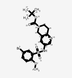 COc1ccc(Br)cc1S(=O)(=O)Nc1cnc2c(c1)CN(C(=O)OC(C)(C)C)CC2